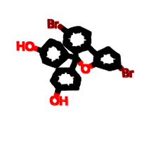 Oc1ccc(C2(c3ccc(O)cc3)Oc3cc(Br)ccc3-c3ccc(Br)cc32)cc1